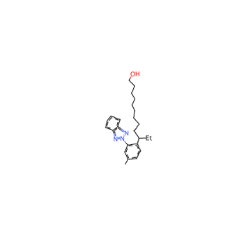 CCC(CCCCCCCCCO)c1ccc(C)cc1-n1nc2ccccc2n1